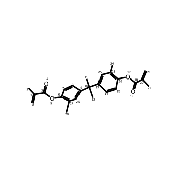 C=C(C)C(=O)Oc1ccc(C(C)(C)c2ccc(OC(=O)C(=C)C)c(C)c2)cc1C